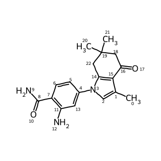 Cc1cn(-c2ccc(C(N)=O)c(N)c2)c2c1C(=O)CC(C)(C)C2